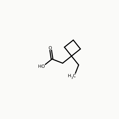 CCC1(CC(=O)O)CCC1